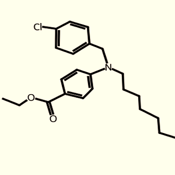 CCCCCCCN(Cc1ccc(Cl)cc1)c1ccc(C(=O)OCC)cc1